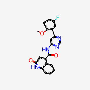 COc1ccc(F)cc1-c1cc(NC(=O)c2cc(=O)[nH]c3ccccc23)ncn1